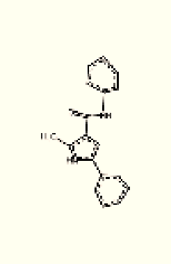 Cc1[nH]c(-c2ccccc2)cc1C(=O)Nc1ccccc1